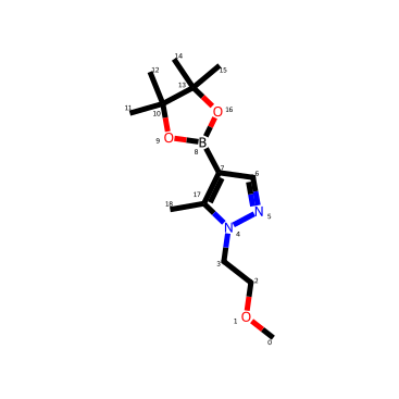 COCCn1ncc(B2OC(C)(C)C(C)(C)O2)c1C